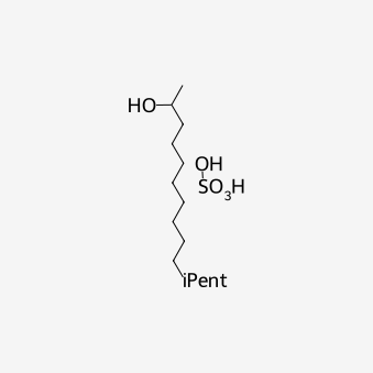 CCCC(C)CCCCCCCCC(C)O.O=S(=O)(O)O